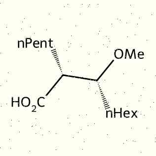 CCCCCC[C@@H](OC)[C@@H](CCCCC)C(=O)O